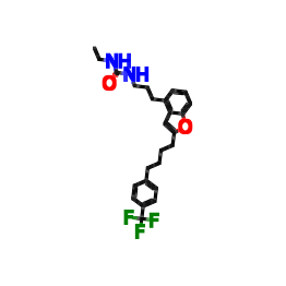 CCNC(=O)NCCCc1cccc2oc(CCCCc3ccc(C(F)(F)F)cc3)cc12